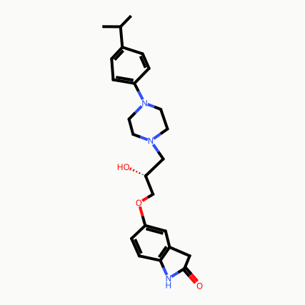 CC(C)c1ccc(N2CCN(C[C@@H](O)COc3ccc4c(c3)CC(=O)N4)CC2)cc1